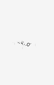 BCc1ccc(CCNC(=O)OC(C)(C)C)cc1